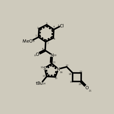 COc1ccc(Cl)cc1C(=O)/N=c1\sc(C(C)(C)C)cn1CC1CC(=O)C1